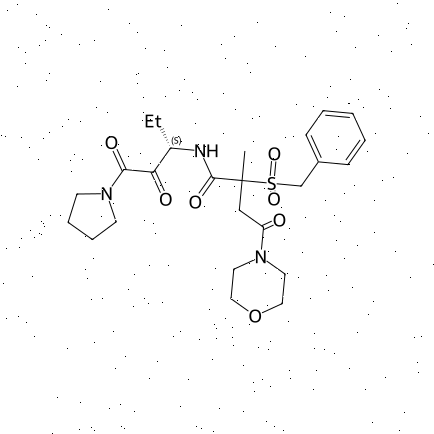 CC[C@H](NC(=O)C(C)(CC(=O)N1CCOCC1)S(=O)(=O)Cc1ccccc1)C(=O)C(=O)N1CCCC1